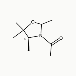 CC(=O)N1C(C)OC(C)(C)[C@@H]1C